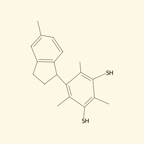 Cc1ccc2c(c1)CCC2c1c(C)c(S)c(C)c(S)c1C